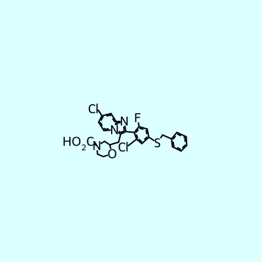 O=C(O)N1CCOC(Cc2c(-c3c(F)cc(SCc4ccccc4)cc3Cl)nc3cc(Cl)ccn23)C1